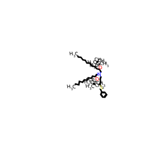 CCCCCCCCCCC(CN(CCCCSCc1ccccc1)CC(CCCCCCCCCC)O[Si](C)(C)C(C)(C)C)O[Si](C)(C)C(C)(C)C